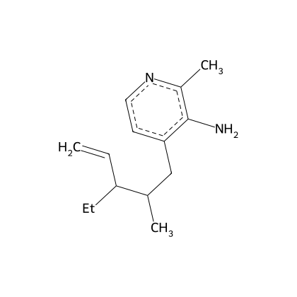 C=CC(CC)C(C)Cc1ccnc(C)c1N